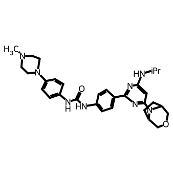 CC(C)Nc1cc(N2C3CCC2COC3)nc(-c2ccc(NC(=O)Nc3ccc(N4CCN(C)CC4)cc3)cc2)n1